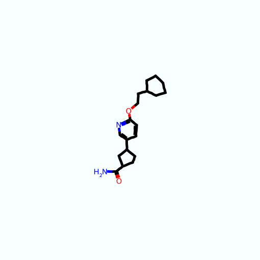 NC(=O)C1CCC(c2ccc(OCCC3CCCCC3)nc2)C1